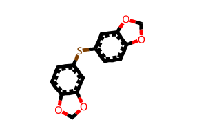 c1cc2c(cc1Sc1ccc3c(c1)OCO3)OCO2